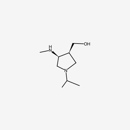 CN[C@@H]1CN(C(C)C)C[C@@H]1CO